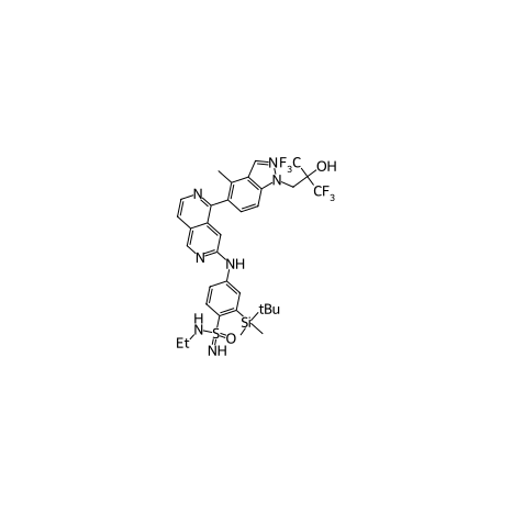 CCNS(=N)(=O)c1ccc(Nc2cc3c(-c4ccc5c(cnn5CC(O)(C(F)(F)F)C(F)(F)F)c4C)nccc3cn2)cc1[Si](C)(C)C(C)(C)C